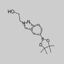 CC1(C)OB(c2ccc3nn(CCO)cc3c2)OC1(C)C